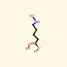 CCNCCCC[SiH](OCC)OCC